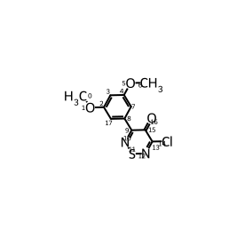 COc1cc(OC)cc(-c2nsnc(Cl)c2=O)c1